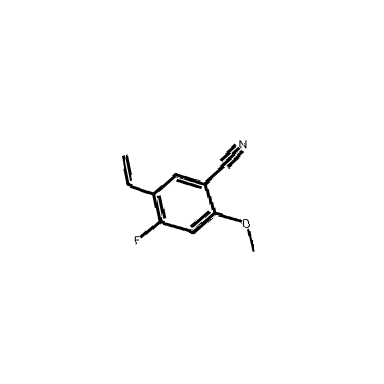 C=Cc1cc(C#N)c(OC)cc1F